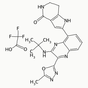 Cc1nnc(-c2nc3cccc(-c4cc5c([nH]4)CCNC5=O)c3nc2NC(C)(C)C)o1.O=C(O)C(F)(F)F